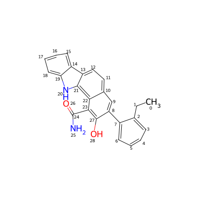 CCc1ccccc1-c1cc2ccc3c4ccccc4[nH]c3c2c(C(N)=O)c1O